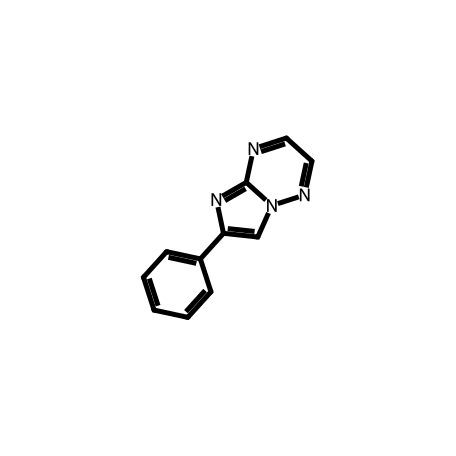 c1ccc(-c2cn3nccnc3n2)cc1